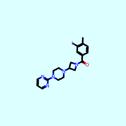 Cc1ccc(C(=O)N2CC(N3CCN(c4ncccn4)CC3)C2)cc1I